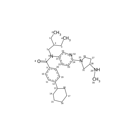 CCC(CC)CN(C(=O)c1ccc(C2CCCCC2)cc1)c1ccc(N2CCC(NC)C2)nc1